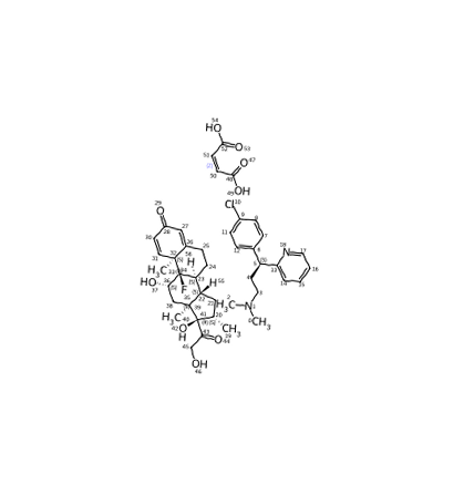 CN(C)CC[C@@H](c1ccc(Cl)cc1)c1ccccn1.C[C@H]1C[C@H]2[C@@H]3CCC4=CC(=O)C=C[C@]4(C)[C@@]3(F)[C@@H](O)C[C@]2(C)[C@@]1(O)C(=O)CO.O=C(O)/C=C\C(=O)O